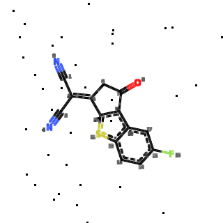 N#CC(C#N)=C1CC(=O)c2c1sc1ccc(F)cc21